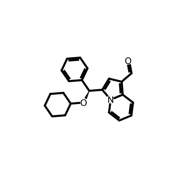 O=Cc1cc([C@@H](OC2CCCCC2)c2ccccc2)n2ccccc12